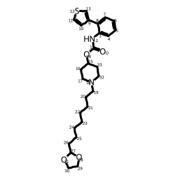 O=C(Nc1ccccc1-c1ccsc1)OC1CCN(CCCCCCCCC2OCCO2)CC1